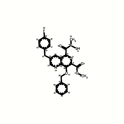 COC(=O)c1nc(C(=O)N(C)S)c2cc(Cc3ccc(F)cc3)cnc2c1OCc1ccccc1